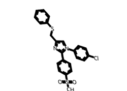 CS(=O)(=O)c1ccc(-c2nc(CSc3ccccc3)cn2-c2ccc(Cl)cc2)cc1